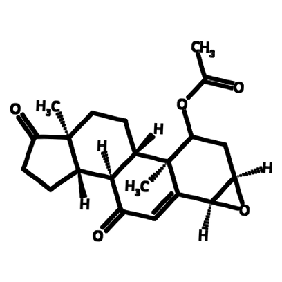 CC(=O)OC1C[C@H]2O[C@H]2C2=CC(=O)[C@H]3[C@@H]4CCC(=O)[C@@]4(C)CC[C@@H]3[C@]21C